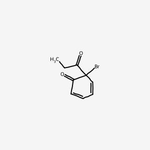 CCC(=O)C1(Br)C=CC=CC1=O